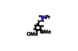 COc1ccc(CCN(C)C(C)C)cc1OC